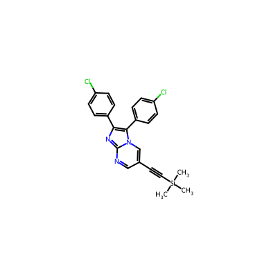 C[Si](C)(C)C#Cc1cnc2nc(-c3ccc(Cl)cc3)c(-c3ccc(Cl)cc3)n2c1